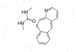 C1=c2cccnc2=CSc2ccccc21.CNC(=O)NC